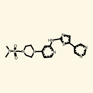 CN(C)S(=O)(=O)N1CCN(c2ccnc(Nc3ncc(-c4cncnc4)s3)c2)CC1